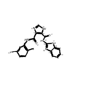 Cc1ccc(F)cc1NC(=O)c1nc[nH]c1C(=O)Nc1nc2ccccc2[nH]1